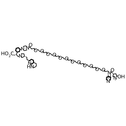 CN1C(O)C[C@H](C(=O)NCCOCCOCCOCCOCCOCCOCCOCCOCCOCCOCCOCCOCCC(=O)N2CCN(c3cccc([C@H](CC(=O)O)CN4CC[C@@H](CCc5ccc6c(n5)NCCC6)C4)c3)CC2)[C@H]1c1cccnc1